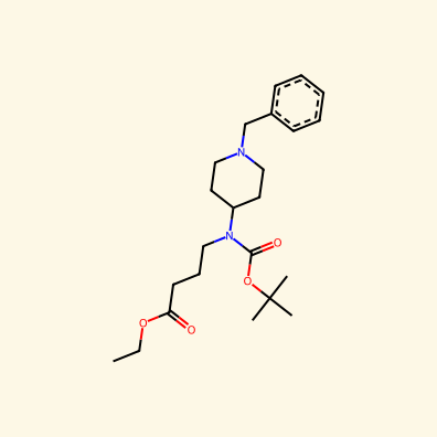 CCOC(=O)CCCN(C(=O)OC(C)(C)C)C1CCN(Cc2ccccc2)CC1